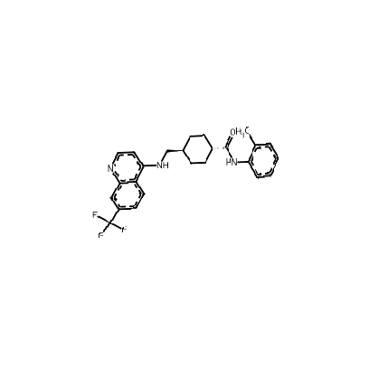 Cc1ccccc1NC(=O)[C@H]1CC[C@H](CNc2ccnc3cc(C(F)(F)F)ccc23)CC1